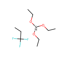 CCC(F)(F)F.CCO[SiH](OCC)OCC